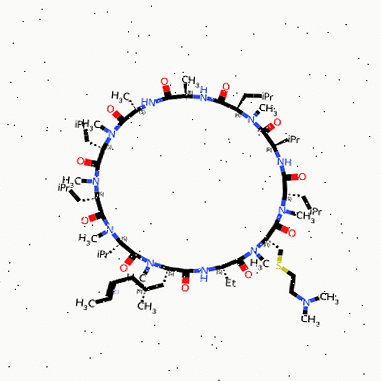 C/C=C/C[C@@H](C)C[C@H]1C(=O)N[C@@H](CC)C(=O)N(C)[C@@H](CSCCN(C)C)C(=O)N(C)[C@@H](CC(C)C)C(=O)N[C@H](C(C)C)C(=O)N(C)[C@H](CC(C)C)C(=O)N[C@H](C)C(=O)N[C@@H](C)C(=O)N(C)[C@@H](CC(C)C)C(=O)N(C)[C@@H](CC(C)C)C(=O)N(C)[C@@H](C(C)C)C(=O)N1C